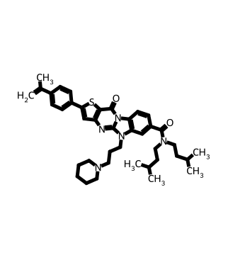 C=C(C)c1ccc(-c2cc3nc4n(CCCN5CCCCC5)c5cc(C(=O)N(CCC(C)C)CCC(C)C)ccc5n4c(=O)c3s2)cc1